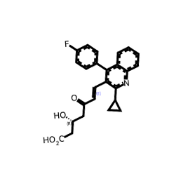 O=C(O)C[C@H](O)CC(=O)/C=C/c1c(C2CC2)nc2ccccc2c1-c1ccc(F)cc1